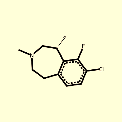 C[C@H]1CN(C)CCc2ccc(Cl)c(F)c21